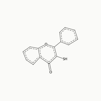 O=c1c(S)c(-c2ccccc2)oc2ccccc12